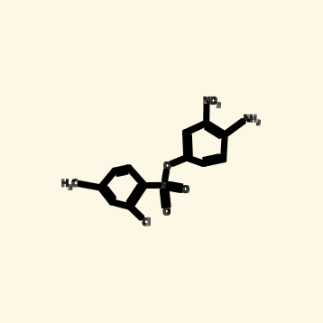 Cc1ccc(S(=O)(=O)Oc2ccc(N)c([N+](=O)[O-])c2)c(Cl)c1